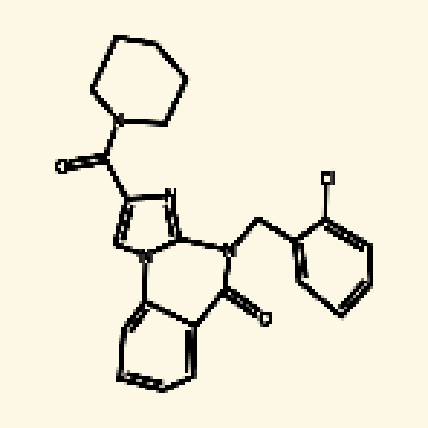 O=C(c1cn2c3ccccc3c(=O)n(Cc3ccccc3Cl)c2n1)N1CCCCC1